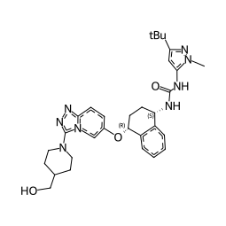 Cn1nc(C(C)(C)C)cc1NC(=O)N[C@H]1CC[C@@H](Oc2ccc3nnc(N4CCC(CO)CC4)n3c2)c2ccccc21